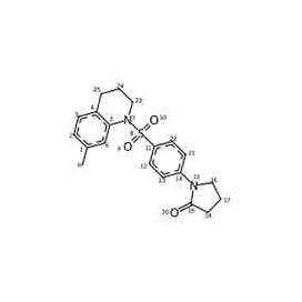 Cc1ccc2c(c1)N(S(=O)(=O)c1ccc(N3CCCC3=O)cc1)CCC2